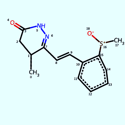 CC1CC(=O)NN=C1C=Cc1ccccc1[S+](C)[O-]